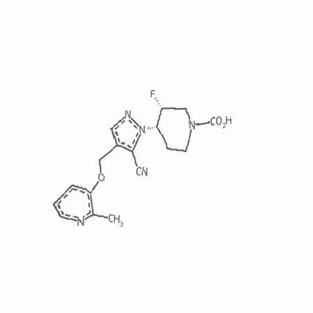 Cc1ncccc1OCc1cnn([C@H]2CCN(C(=O)O)C[C@H]2F)c1C#N